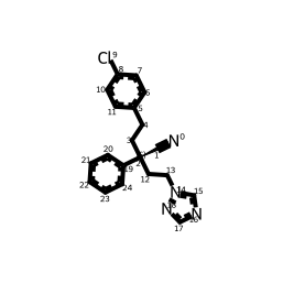 N#C[C@@](CCc1ccc(Cl)cc1)(CCn1cncn1)c1ccccc1